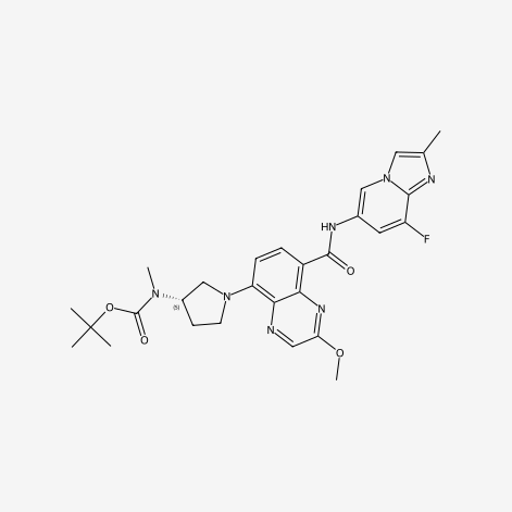 COc1cnc2c(N3CC[C@H](N(C)C(=O)OC(C)(C)C)C3)ccc(C(=O)Nc3cc(F)c4nc(C)cn4c3)c2n1